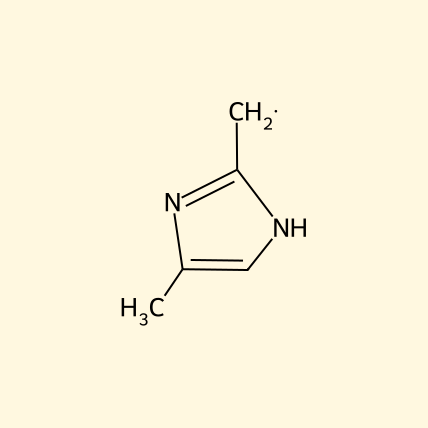 [CH2]c1nc(C)c[nH]1